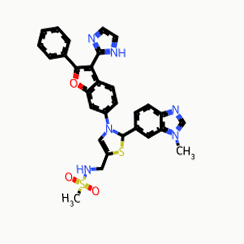 Cn1cnc2ccc(C3SC(CNS(C)(=O)=O)=CN3c3ccc4c(-c5ncc[nH]5)c(-c5ccccc5)oc4c3)cc21